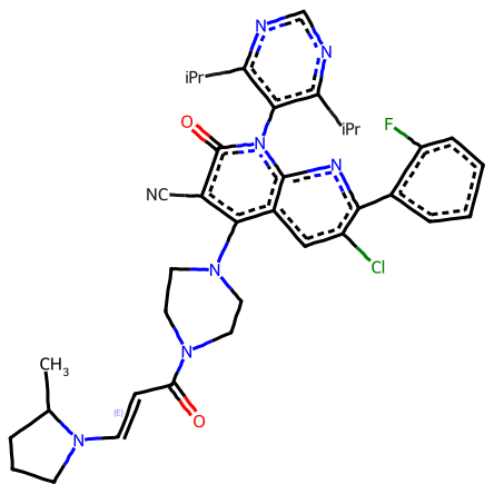 CC(C)c1ncnc(C(C)C)c1-n1c(=O)c(C#N)c(N2CCN(C(=O)/C=C/N3CCCC3C)CC2)c2cc(Cl)c(-c3ccccc3F)nc21